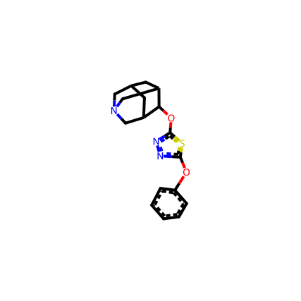 c1ccc(Oc2nnc(OC3C4CC5CC3CN(C5)C4)s2)cc1